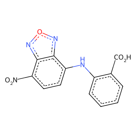 O=C(O)c1ccccc1Nc1ccc([N+](=O)[O-])c2nonc12